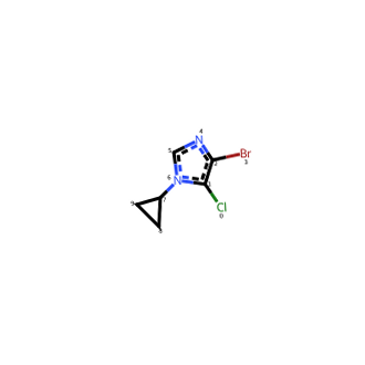 Clc1c(Br)ncn1C1CC1